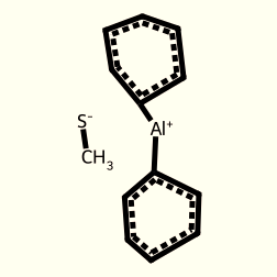 C[S-].c1cc[c]([Al+][c]2ccccc2)cc1